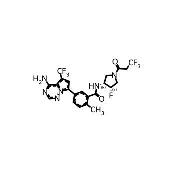 Cc1ccc(-c2cc(C(F)(F)F)c3c(N)ncnn23)cc1C(=O)N[C@@H]1CN(C(=O)CC(F)(F)F)C[C@@H]1F